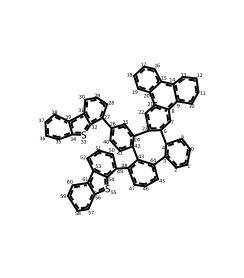 c1ccc2c(c1)-c1cc3c4ccccc4c4ccccc4c3cc1-c1cc(-c3cccc4c3sc3ccccc34)ccc1-c1c-2cccc1-c1cccc2c1sc1ccccc12